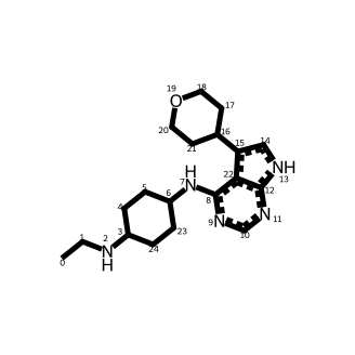 CCNC1CCC(Nc2ncnc3[nH]cc(C4CCOCC4)c23)CC1